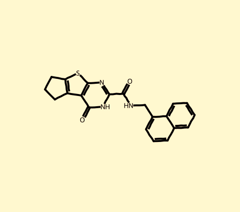 O=C(NCc1cccc2ccccc12)c1nc2sc3c(c2c(=O)[nH]1)CCC3